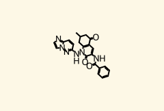 CC1CC(=O)c2cc(NC(=O)c3ccccc3)c(=O)n(Nc3ccc4nccn4n3)c2C1